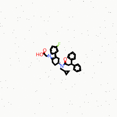 O=C(O)Cn1c2c(c3cc(F)ccc31)C[C@@H](N(CC1CC1)C(=O)CC(c1ccccc1)c1ccccc1)CC2